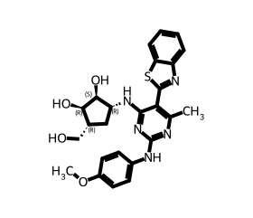 COc1ccc(Nc2nc(C)c(-c3nc4ccccc4s3)c(N[C@@H]3C[C@H](CO)[C@@H](O)[C@H]3O)n2)cc1